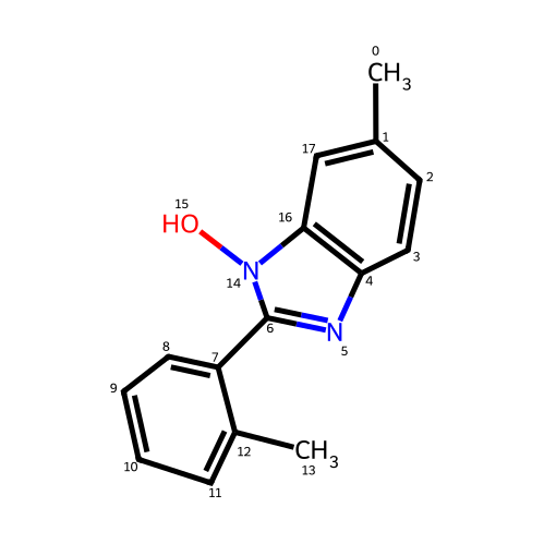 Cc1ccc2nc(-c3ccccc3C)n(O)c2c1